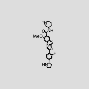 COc1cc2c(cc1C(=O)N[C@H]1CCCN(C)C1)sc1nc(-c3ccc(C4CCCN4)cc3F)cn12